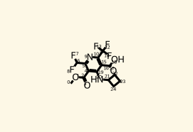 COC(=O)c1c(C(F)F)nc(C(F)(F)F)c(C(=O)O)c1NC1CCC1